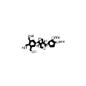 COc1ccc([C@H]2OC[C@H]3[C@@H]2CO[C@@H]3c2cc(CO)c(CO)c(CO)c2)cc1OC